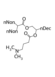 CCCCCCCCCCC(COC(=O)C(CCCCCCCCC)CCCCCCCCC)OC(=O)CCCN(C)C